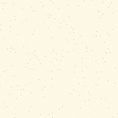 C=C(/C=C(\C=C\C(=O)NCc1cc(OC)cc(OC)c1)CNC1=NCCC1)c1cc(C)c(F)cc1C